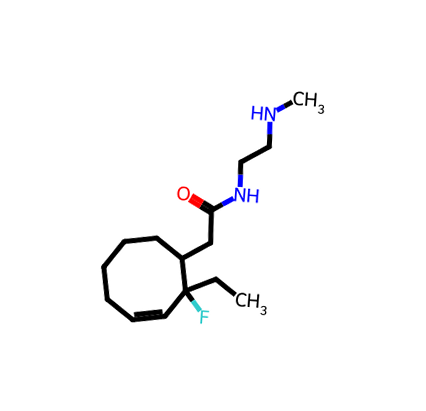 CCC1(F)/C=C\CCCCC1CC(=O)NCCNC